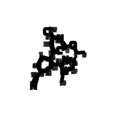 CCOc1cc(-c2ccc(C#N)cc2-c2nncn2C)cc(Cl)n1